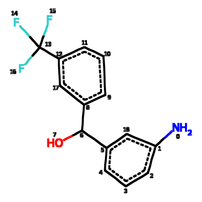 Nc1cccc(C(O)c2cccc(C(F)(F)F)c2)c1